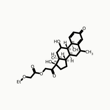 CCOCC(=O)OCC(=O)[C@@]1(O)CC[C@H]2[C@@H]3CC(C)C4=CC(=O)C=C[C@]4(C)[C@H]3C(O)C[C@@]21C